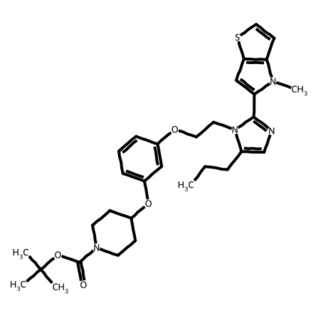 CCCc1cnc(-c2cc3sccc3n2C)n1CCOc1cccc(OC2CCN(C(=O)OC(C)(C)C)CC2)c1